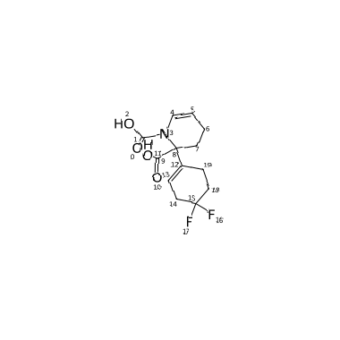 O=C(O)N1C=CCCC1(C(=O)O)C1=CCC(F)(F)CC1